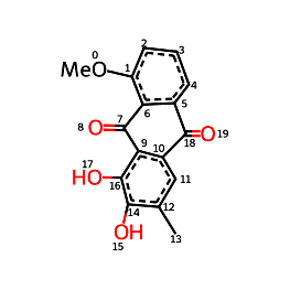 COc1cccc2c1C(=O)c1c(cc(C)c(O)c1O)C2=O